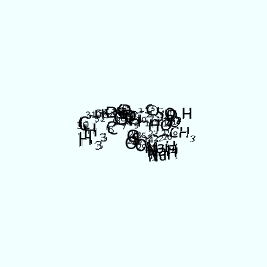 CCCCCCCCCCCCOS(=O)(=O)O.CCCCCCCCCCS(=O)(=O)O.CCCCCCCS(=O)(=O)O.CCCCCCS(=O)(=O)O.[NaH].[NaH].[NaH]